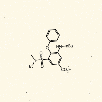 CCCCNc1cc(C(=O)O)cc(S(=O)(=O)N(C)CC)c1Oc1ccccc1